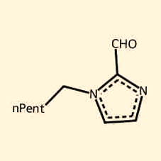 CCCCCCn1ccnc1C=O